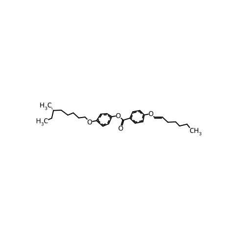 CCCCC/C=C/Oc1ccc(C(=O)Oc2ccc(OCCCCC[C@@H](C)CC)cc2)cc1